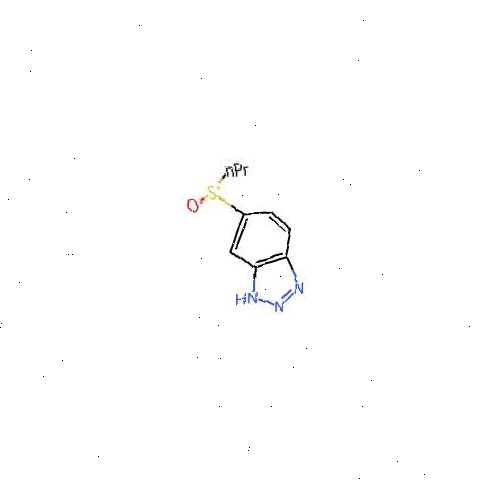 CCC[S+]([O-])c1ccc2nn[nH]c2c1